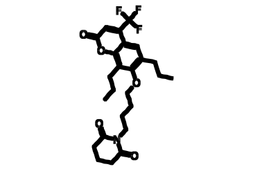 CCCc1cc2c(C(F)(F)F)cc(=O)oc2c(CCC)c1OCCCCN1C(=O)CCCC1=O